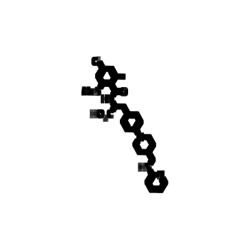 CSc1cc(Cl)cc(C)c1C(=O)NC(Cc1ccc(N2CCC(CNc3ccccn3)CC2)cc1)C(=O)O